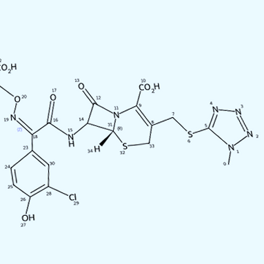 Cn1nnnc1SCC1=C(C(=O)O)N2C(=O)C(NC(=O)/C(=N\OCC(=O)O)c3ccc(O)c(Cl)c3)[C@H]2SC1